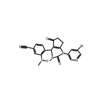 CN1C(=O)N(c2cncc(Br)c2)C2=C(C(=O)CC2)C1c1ccc(C#N)cc1[S+](C)[O-]